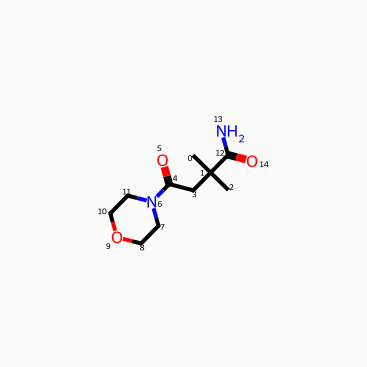 CC(C)(CC(=O)N1CCOCC1)C(N)=O